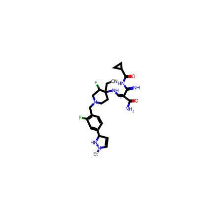 CCN1C=CC(c2ccc(CN3CCC(CC#N)(N/C=C(\C(=N)NC(=O)C4CC4)C(N)=O)C(F)C3)c(F)c2)N1